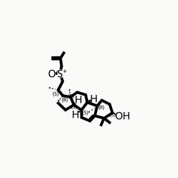 C=C(C)C[S+]([O-])C[C@@H](C)[C@H]1CC[C@H]2[C@@H]3CC=C4C(C)(C)[C@@H](O)CC[C@]4(C)[C@H]3CC[C@]12C